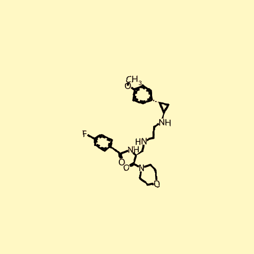 COc1ccc([C@@H]2C[C@H]2NCCNC[C@H](NC(=O)c2ccc(F)cc2)C(=O)N2CCOCC2)cc1